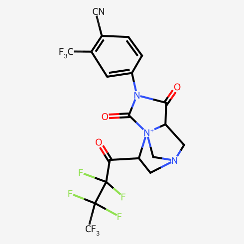 N#Cc1ccc(N2C(=O)C3CN4CC(C(=O)C(F)(F)C(F)(F)C(F)(F)F)[N+]3(C4)C2=O)cc1C(F)(F)F